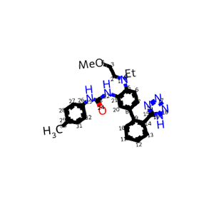 CCN(CCOC)c1ccc(-c2ccccc2-c2nnn[nH]2)cc1NC(=O)Nc1ccc(C)cc1